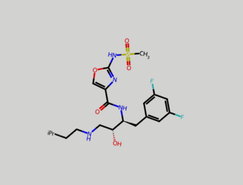 CC(C)CCNC[C@@H](O)[C@H](Cc1cc(F)cc(F)c1)NC(=O)c1coc(NS(C)(=O)=O)n1